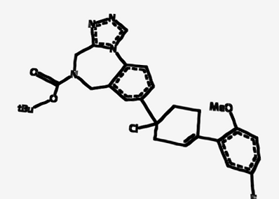 COc1ccc(F)cc1C1=CCC(Cl)(c2ccc3c(c2)CN(C(=O)OC(C)(C)C)Cc2nncn2-3)CC1